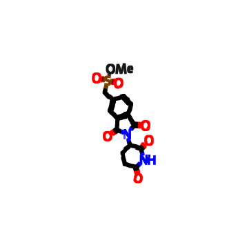 COS(=O)(=O)Cc1ccc2c(c1)C(=O)N(C1CCC(=O)NC1=O)C2=O